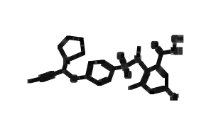 CC#CC(Oc1ccc(S(=O)(=O)N(C)c2c(C)cc(Br)cc2C(=O)NO)cc1)N1CCCC1